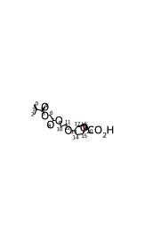 C=C(C)C(=O)OCC(=O)OCCOC1CC2OC1CC2C(=O)O